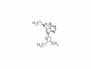 CCC#Cc1cn(C2CC(C)C(CC)O2)c2ncnc(N)c12